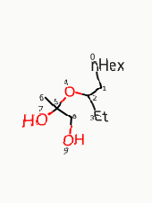 CCCCCCCC(CC)OC(C)(O)CO